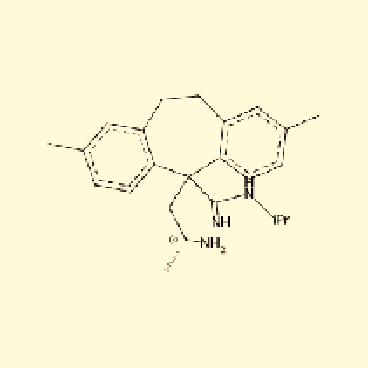 Cc1ccc2c(c1)CCc1cc(C)ccc1C2(C[C@@H](C)N)C(=N)NC(C)C